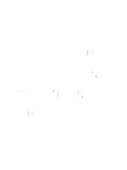 CCN(CC)c1cc(C)nc(Cl)n1